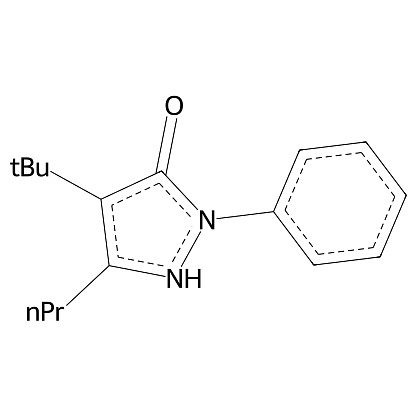 CCCc1[nH]n(-c2ccccc2)c(=O)c1C(C)(C)C